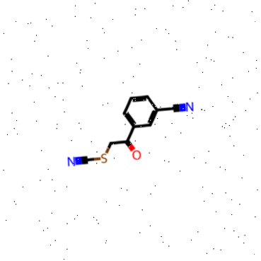 N#CSCC(=O)c1cccc(C#N)c1